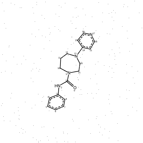 O=C(Nc1ccccc1)N1CCCN(c2ccncc2)CC1